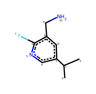 CC(C)c1cnc(F)c(CN)c1